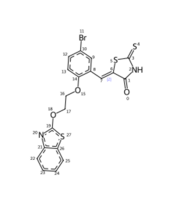 O=C1NC(=S)S/C1=C\c1cc(Br)ccc1OCCOc1nc2ccccc2s1